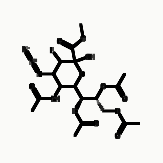 COC(=O)C1(O)OC([C@H](OC(C)=O)[C@@H](COC(C)=O)OC(C)=O)C(NC(C)=O)C(N=[N+]=[N-])C1F